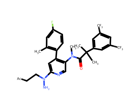 CC(=O)CCN(N)c1cc(-c2ccc(F)cc2C)c(N(C)C(=O)C(C)(C)c2cc(C(F)(F)F)cc(C(F)(F)F)c2)cn1